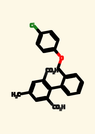 Cc1cc(C(=O)O)c(-c2ccccc2COc2ccc(Cl)cc2)c(C(=O)O)c1